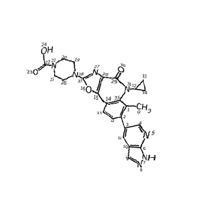 Cc1c(-c2cnc3[nH]ncc3c2)ccc2c3oc(N4CCN(C(=O)O)CC4)nc3c(=O)n(C3CC3)c12